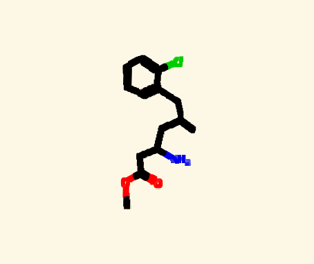 COC(=O)CC(N)CC(C)Cc1ccccc1Cl